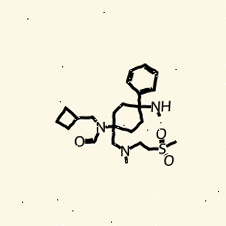 CNC1(c2ccccc2)CCC(CN(C)CCS(C)(=O)=O)(N(C=O)CC2CCC2)CC1